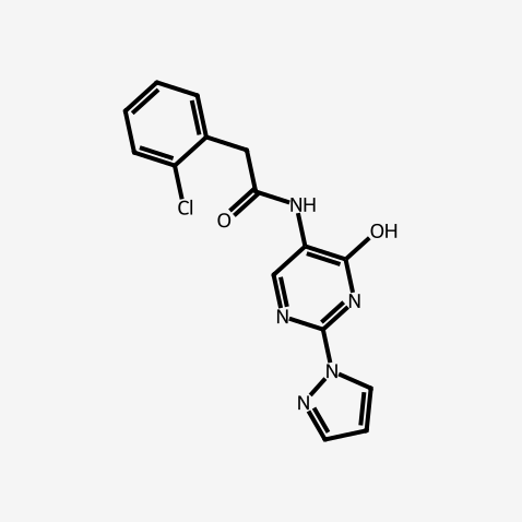 O=C(Cc1ccccc1Cl)Nc1cnc(-n2cccn2)nc1O